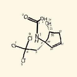 O=C(O)N[C@]1(CC(Cl)(Cl)Cl)C=CC[C@H]1O